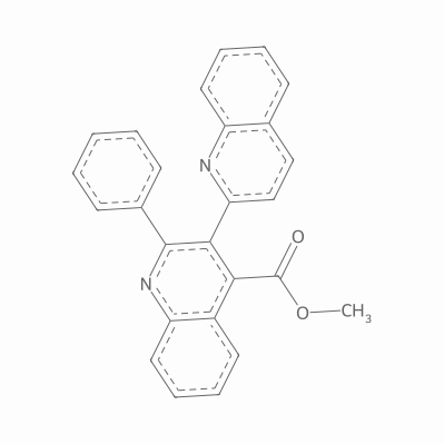 COC(=O)c1c(-c2ccc3ccccc3n2)c(-c2ccccc2)nc2ccccc12